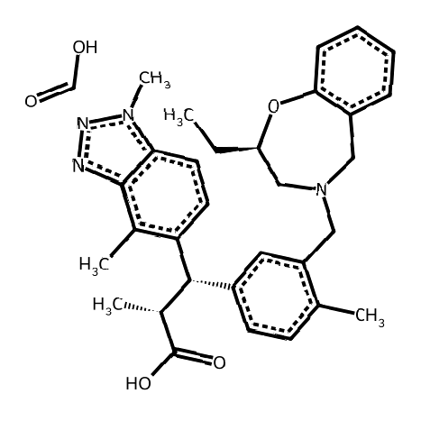 CC[C@@H]1CN(Cc2cc([C@@H](c3ccc4c(nnn4C)c3C)[C@@H](C)C(=O)O)ccc2C)Cc2ccccc2O1.O=CO